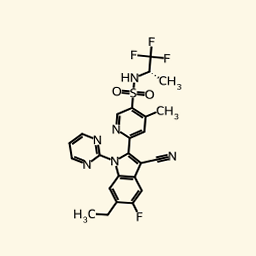 CCc1cc2c(cc1F)c(C#N)c(-c1cc(C)c(S(=O)(=O)N[C@@H](C)C(F)(F)F)cn1)n2-c1ncccn1